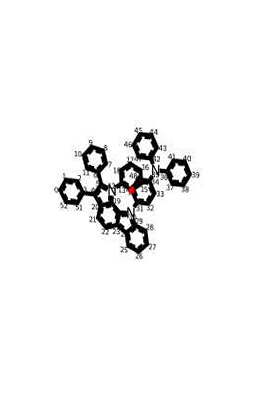 c1ccc(-c2c(-c3ccccc3)n(-c3ccccc3)c3c2ccc2c4ccccc4n(-c4ccc(N(c5ccccc5)c5ccccc5)cc4)c23)cc1